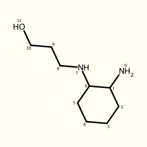 NC1CCCCC1NCCCO